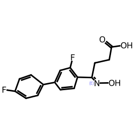 O=C(O)CC/C(=N\O)c1ccc(-c2ccc(F)cc2)cc1F